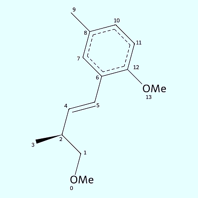 COC[C@@H](C)/C=C/c1cc(C)ccc1OC